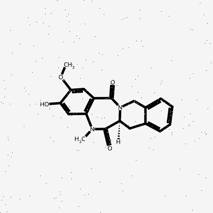 COc1cc2c(cc1O)N(C)C(=O)[C@@H]1Cc3ccccc3CN1C2=O